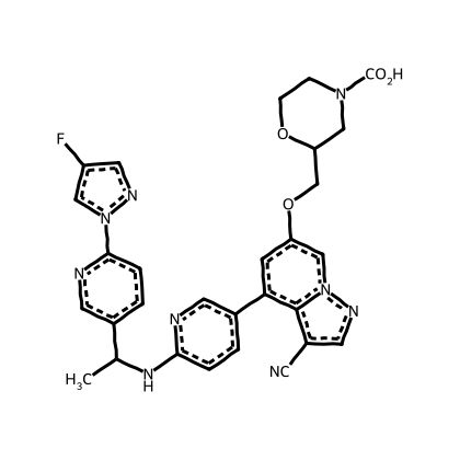 CC(Nc1ccc(-c2cc(OCC3CN(C(=O)O)CCO3)cn3ncc(C#N)c23)cn1)c1ccc(-n2cc(F)cn2)nc1